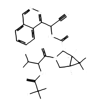 CC(C)C(NC(=O)C(F)(F)F)C(=O)N1C[C@H]2[C@@H]([C@H]1C(=O)NC(C#N)c1nncc3ccccc13)C2(C)C